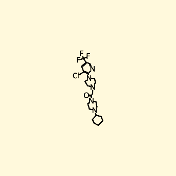 O=C(CN1CCN(c2ncc(C(F)(F)F)cc2Cl)CC1)N1CCN(C2CCCCC2)CC1